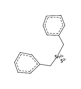 [S-2].c1ccc([CH2][Sn+2][CH2]c2ccccc2)cc1